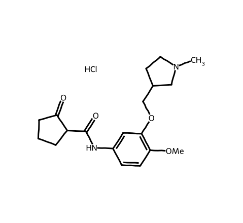 COc1ccc(NC(=O)C2CCCC2=O)cc1OCC1CCN(C)C1.Cl